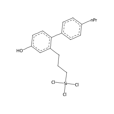 CCCc1ccc(-c2ccc(O)cc2CCC[Si](Cl)(Cl)Cl)cc1